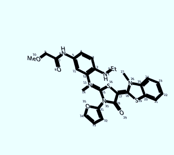 CCNc1ccc(NC(=O)COC)cc1[N+](C)=C1SC(=C2Sc3ccccc3N2C)C(=O)N1c1ccco1